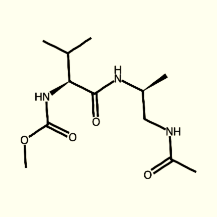 COC(=O)N[C@H](C(=O)N[C@@H](C)CNC(C)=O)C(C)C